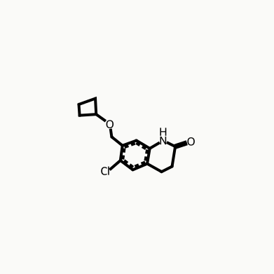 O=C1CCc2cc(Cl)c(COC3CCC3)cc2N1